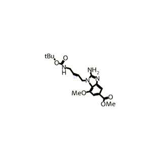 COC(=O)c1cc(OC)c2c(c1)nc(N)n2C/C=C/CNC(=O)OC(C)(C)C